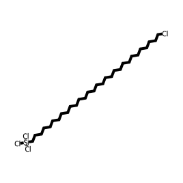 ClCCCCCCCCCCCCCCCCCCCCCCCCCCCCCC[Si](Cl)(Cl)Cl